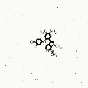 COc1nccc2c(-c3cc(N)c(C)cc3Oc3ccc(Cl)c(F)c3)cn(C)c12